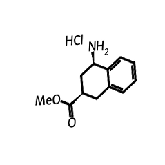 COC(=O)[C@@H]1Cc2ccccc2[C@H](N)C1.Cl